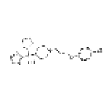 N#Cc1ccc(OCCCN2CCC(C(O)(c3nccs3)C3CCCC3)CC2)cc1